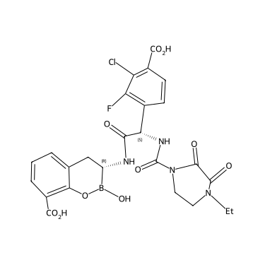 CCN1CCN(C(=O)N[C@H](C(=O)N[C@H]2Cc3cccc(C(=O)O)c3OB2O)c2ccc(C(=O)O)c(Cl)c2F)C(=O)C1=O